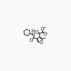 COC(=O)C(=O)c1c(C(=O)NC2CCCCC2)coc1C